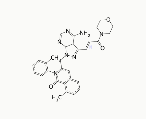 Cc1ccccc1-n1c(CN2N=C(/C=C/C(=O)N3CCOCC3)C3C(N)=NC=NC32)cc2cccc(C)c2c1=O